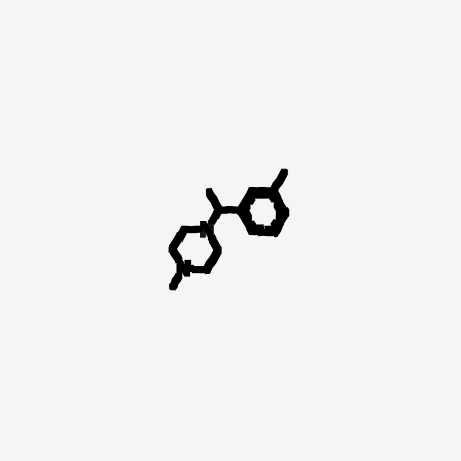 Cc1cccc(C(C)N2CCN(C)CC2)c1